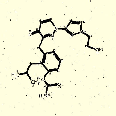 CC(C)Cc1c(Cc2nn(-c3cnn(CCO)c3)ccc2=O)cccc1OC(N)=O